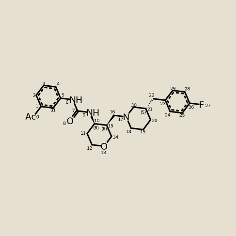 CC(=O)c1cccc(NC(=O)N[C@@H]2CCOC[C@@H]2CN2CCC[C@@H](Cc3ccc(F)cc3)C2)c1